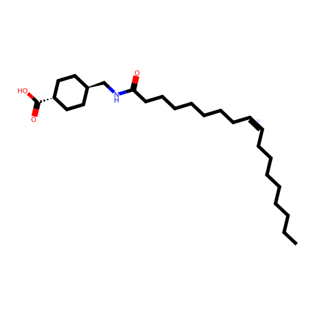 CCCCCCCC/C=C\CCCCCCCC(=O)NC[C@H]1CC[C@H](C(=O)O)CC1